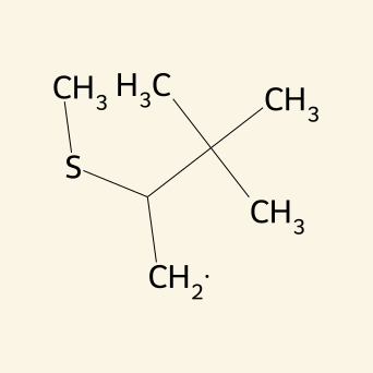 [CH2]C(SC)C(C)(C)C